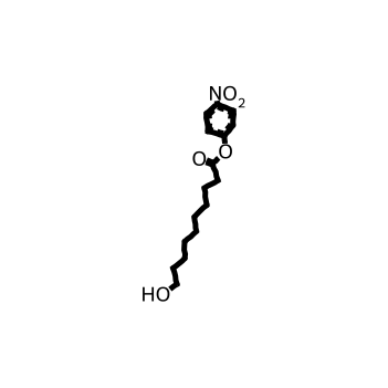 O=C(CCCCCCCCCO)Oc1ccc([N+](=O)[O-])cc1